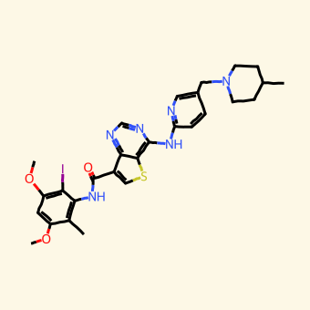 COc1cc(OC)c(I)c(NC(=O)c2csc3c(Nc4ccc(CN5CCC(C)CC5)cn4)ncnc23)c1C